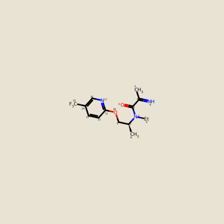 CCN(C(=O)C(C)=N)[C@@H](C)COc1ccc(C(F)(F)F)cn1